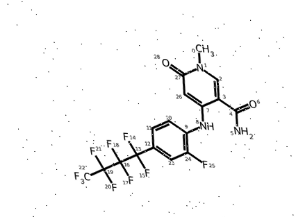 Cn1cc(C(N)=O)c(Nc2ccc(C(F)(F)C(F)(F)C(F)(F)C(F)(F)F)cc2F)cc1=O